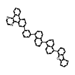 c1cc(-c2ccc3c4ccccc4c4nccnc4c3c2)cc(-c2cccc3c(-c4cccc5c(-c6cccc7c6oc6ccccc67)cccc45)cccc23)c1